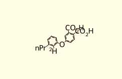 [2H]c1c(CCC)cccc1Oc1ccc(C(=O)O)c(C(=O)O)c1